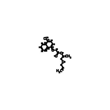 C=CCOCC(C)OC(=O)COc1ccc(Cl)c2cccnc12